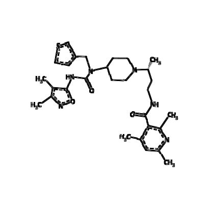 Cc1cc(C)c(C(=O)NCC[C@@H](C)N2CCC(N(Cc3ccsc3)C(=O)Nc3onc(C)c3C)CC2)c(C)n1